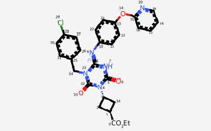 CCOC(=O)[C@H]1C[C@H](n2c(=O)[nH]/c(=N\c3ccc(Oc4ccccn4)cc3)n(Cc3ccc(Cl)cc3)c2=O)C1